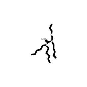 CCCCCN(CCCCC)C(=N)N(CCCCC)CCCCC